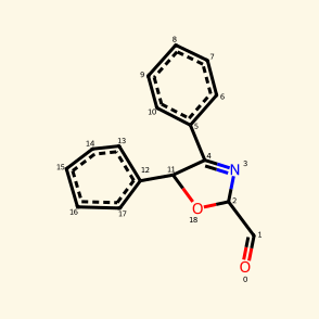 O=CC1N=C(c2ccccc2)C(c2ccccc2)O1